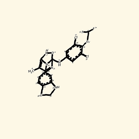 CC1=C2NOC(Nc3cc(Cl)c(OC(F)F)c(Cl)c3)(N=C1)N2c1ccc2c(c1)NCO2